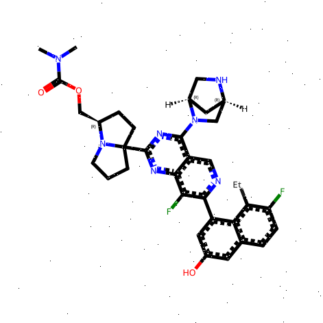 CCc1c(F)ccc2cc(O)cc(-c3ncc4c(N5C[C@H]6C[C@@H]5CN6)nc(C56CCCN5[C@@H](COC(=O)N(C)C)CC6)nc4c3F)c12